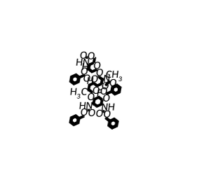 CC1C[C@@H]2OC(O[C@@H]3C[C@@H](OC(=O)c4ccccc4)[C@@H]4NC(=O)OCC4O3)C3C(OC(=O)N3C)C2O[C@@H]1O[C@@H]1C(NC(=O)OCc2ccccc2)C[C@@H](NC(=O)OCc2ccccc2)C(OC(=O)c2ccccc2)[C@H]1F